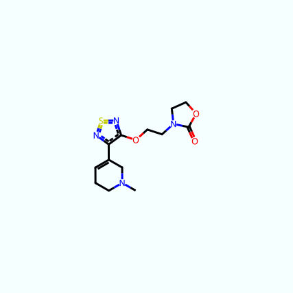 CN1CCC=C(c2nsnc2OCCN2CCOC2=O)C1